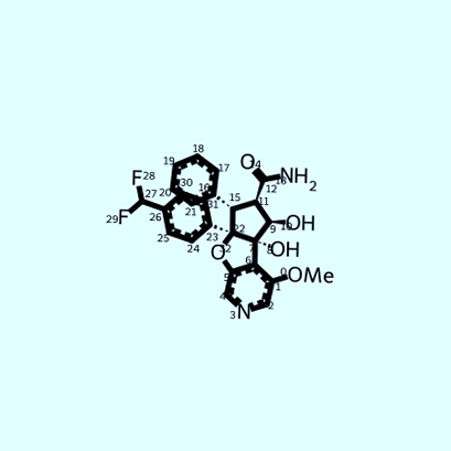 COc1cncc2c1[C@]1(O)[C@H](O)[C@H](C(N)=O)[C@@H](c3ccccc3)[C@]1(c1ccc(C(F)F)cc1)O2